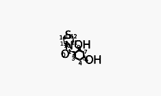 O=C(c1ccc(O)cc1O)N1CCSCC1